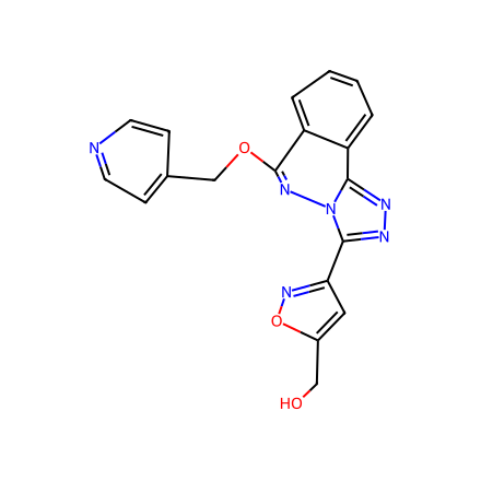 OCc1cc(-c2nnc3c4ccccc4c(OCc4ccncc4)nn23)no1